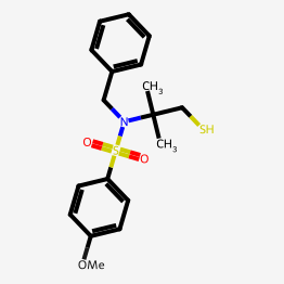 COc1ccc(S(=O)(=O)N(Cc2ccccc2)C(C)(C)CS)cc1